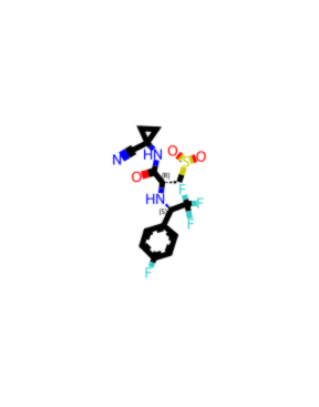 N#CC1(NC(=O)[C@H](C[S](=O)=O)N[C@@H](c2ccc(F)cc2)C(F)(F)F)CC1